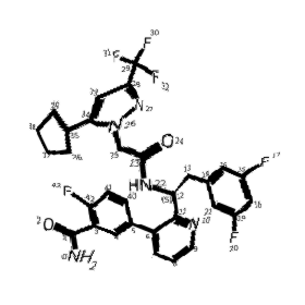 NC(=O)c1cc(-c2cccnc2[C@H](Cc2cc(F)cc(F)c2)NC(=O)Cn2nc(C(F)(F)F)cc2C2CCCC2)ccc1F